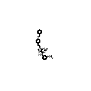 Nc1cccc(Nc2nc(F)nc3c2ncn3CCc2ccc(OCc3ccccc3)cc2)c1